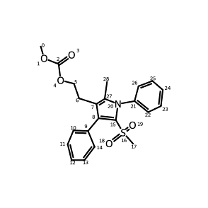 COC(=O)OCCc1c(-c2ccccc2)c(S(C)(=O)=O)n(-c2ccccc2)c1C